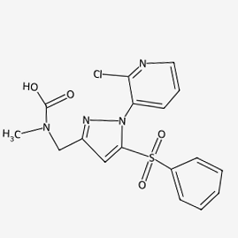 CN(Cc1cc(S(=O)(=O)c2ccccc2)n(-c2cccnc2Cl)n1)C(=O)O